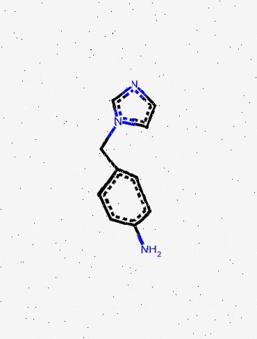 Nc1ccc(Cn2[c]ncc2)cc1